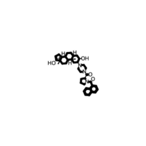 C[C@]12C[C@H](N3CCN(C(=O)[C@@H]4CCCN4C(=O)c4cccc5ccccc45)CC3)[C@@H](O)C[C@@H]1CC[C@@H]1[C@@H]2CC[C@]2(C)[C@@H](O)CC[C@@H]12